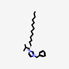 CCCCCCCCCCCCC[C@@H](C(C)C)n1cc[n+](Cc2ccccc2)c1